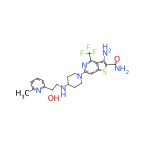 Cc1cccc([C@@H](O)CNC2CCN(c3cc4sc(C(N)=O)c(N)c4c(C(F)(F)F)n3)CC2)n1